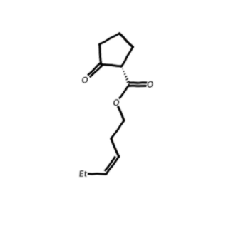 CC/C=C\CCOC(=O)[C@H]1CCCC1=O